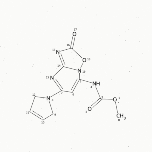 COC(=O)Nc1cc(N2CC=CC2)nc2nc(=O)on12